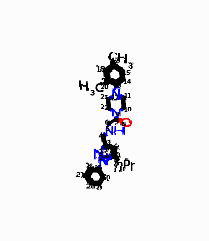 CCCc1cc(CNCC(=O)N2CCN(c3ccc(C)cc3C)CC2)nn1-c1ccccc1